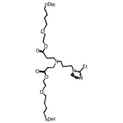 CCCCCCCCCCCCCCOCCOC(=O)CCN(CCCn1ccnc1CC)CCC(=O)OCCOCCCCCCCCCCCCCC